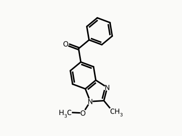 COn1c(C)nc2cc(C(=O)c3ccccc3)ccc21